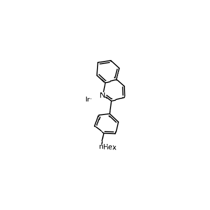 CCCCCCc1ccc(-c2ccc3ccccc3n2)cc1.[Ir]